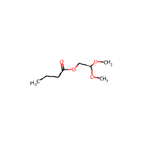 CCCC(=O)OCC(OC)OC